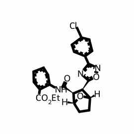 CCOC(=O)c1ccccc1NC(=O)[C@H]1[C@@H](c2nc(-c3ccc(Cl)cc3)no2)[C@@H]2CC[C@H]1O2